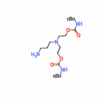 CCCCNC(=O)OCCN(CCCN)CCOC(=O)NCCCC